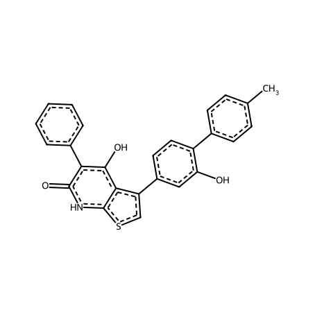 Cc1ccc(-c2ccc(-c3csc4[nH]c(=O)c(-c5ccccc5)c(O)c34)cc2O)cc1